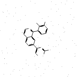 CC/C=C(\N=C(N)N)c1ccc2ccnc(-c3cccc(Cl)c3Cl)c2c1